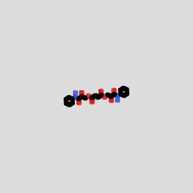 O=C(/C=C/C(=O)OCC(=O)C(=O)NC1CCCCC1)OCC(=O)C(=O)NC1CCCCC1